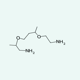 CC(CN)OCCC(C)OCCN